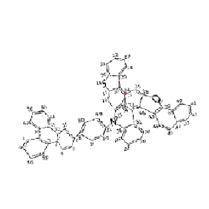 c1ccc(-c2ccc(-c3ccc(N(c4ccc5c(c4)sc4ccccc45)c4ccccc4-c4cccc5oc6c7ccccc7ccc6c45)cc3)cc2-c2ccccc2)cc1